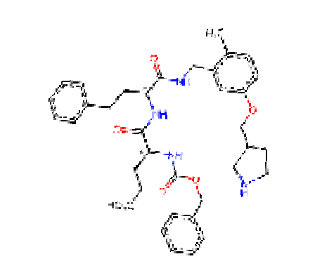 Cc1ccc(OCC2CCNC2)cc1CNC(=O)[C@H](CCc1ccccc1)NC(=O)[C@H](CCC(=O)O)NC(=O)OCc1ccccc1